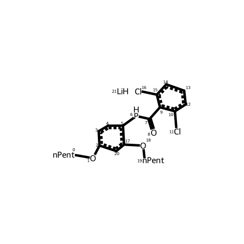 CCCCCOc1ccc(PC(=O)c2c(Cl)cccc2Cl)c(OCCCCC)c1.[LiH]